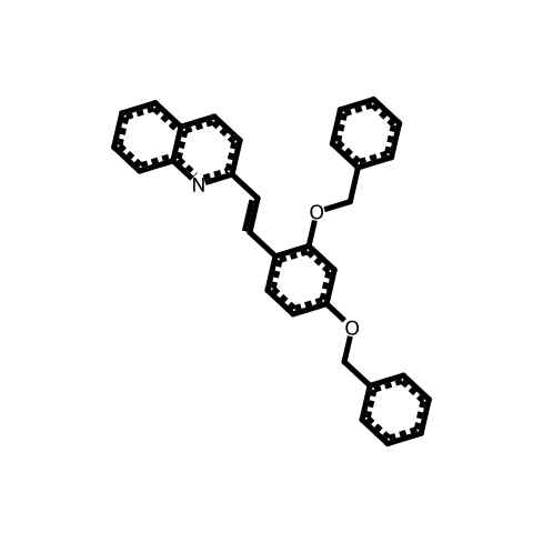 C(=Cc1ccc(OCc2ccccc2)cc1OCc1ccccc1)c1ccc2ccccc2n1